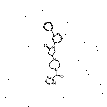 O=C(c1nccs1)N1CCN(C2CC(=O)N(c3cccc(-c4ccccc4)c3)C2)CC1